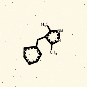 Cc1n[nH]c(C)c1Cc1ccccc1